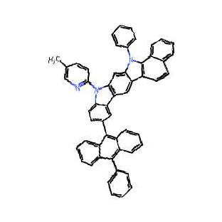 Cc1ccc(-n2c3ccc(-c4c5ccccc5c(-c5ccccc5)c5ccccc45)cc3c3cc4c5ccc6ccccc6c5n(-c5ccccc5)c4cc32)nc1